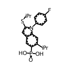 CC(C)Sc1cc2cc(P(=O)(O)O)c(C(C)C)cc2n1-c1ccc(F)cc1